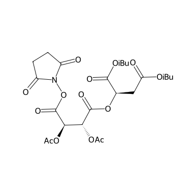 CC(=O)O[C@@H](C(=O)O[C@H](CC(=O)OCC(C)C)C(=O)OCC(C)C)[C@@H](OC(C)=O)C(=O)ON1C(=O)CCC1=O